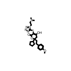 COc1ccc(CCC2(C3CCCC3)CC(O)=C(Sc3nnnn3CCN(C)C)C(=O)O2)cc1